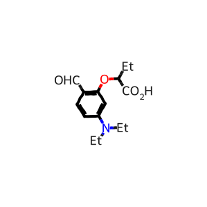 CCC(Oc1cc(N(CC)CC)ccc1C=O)C(=O)O